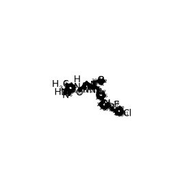 Cc1cc(NC(=O)c2ccc3c(n2)nc(CN2CC=C(c4cccc(OCc5ccc(Cl)cc5F)n4)CC2)n3C[C@@H]2CCO2)cc2cn[nH]c12